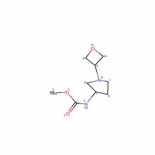 CC(C)(C)OC(=O)NC1CCN(C2COC2)C1